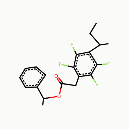 CCC(C)c1c(F)c(F)c(CC(=O)OC(C)c2ccccc2)c(F)c1F